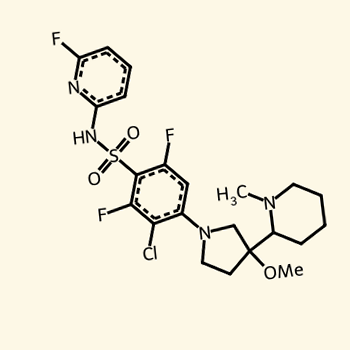 COC1(C2CCCCN2C)CCN(c2cc(F)c(S(=O)(=O)Nc3cccc(F)n3)c(F)c2Cl)C1